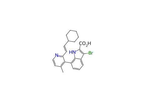 Cc1ccnc(C=CC2CCCCC2)c1-c1cccc2c(Br)c(C(=O)O)[nH]c12